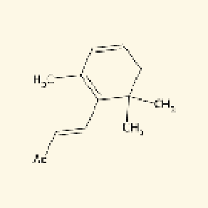 CC(=O)C=CC1=C(C)C=CCC1(C)C